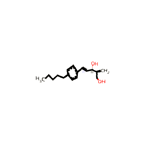 C=C(CO)[C@@H](O)/C=C/c1ccc(CCCCC)cc1